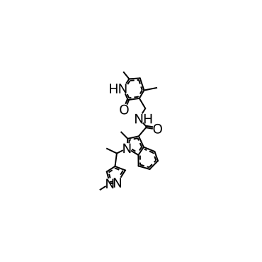 Cc1cc(C)c(CNC(=O)c2c(C)n(C(C)c3cnn(C)c3)c3ccccc23)c(=O)[nH]1